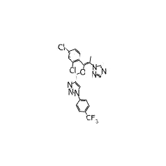 C/C(=C(/OCc1cn(-c2ccc(C(F)(F)F)cc2)nn1)c1ccc(Cl)cc1Cl)n1cncn1